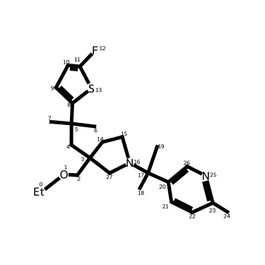 CCOCC1(CC(C)(C)c2ccc(F)s2)CCN(C(C)(C)c2ccc(C)nc2)C1